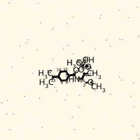 COC[C@H](NC(=O)C1CCC(C(C)C)CC1)[C@H](C)O[P@](C)(=O)O